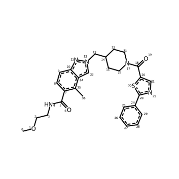 COCCNC(=O)c1ccc2nn(CC3CCN(C(=O)c4cnc(-c5ccccc5)s4)CC3)cc2c1C